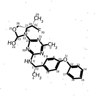 Cc1nc(N[C@@H](C)c2ccc(Oc3ccccc3)cc2)nc(N2C(O)OC[C@@H]2[C@H](C)F)n1